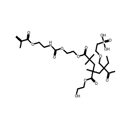 C=C(C)C(=O)OCCNC(=O)OCCOC(=O)C(C)(C)CC(C)(CC(CC)(COCCP(=O)(O)O)C(C)=O)C(=O)OCCO